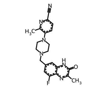 Cc1nc(C#N)ccc1N1CCN(Cc2cc(F)c3nc(C)c(=O)[nH]c3c2)CC1